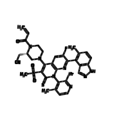 C=CC(=O)N1CCN(c2c(S(C)(=O)=O)c(=S)n(-c3c(C)ccnc3C(C)C)c3nc(-c4c(C)ccc5[nH]ncc45)c(F)cc23)C[C@@H]1CC#N